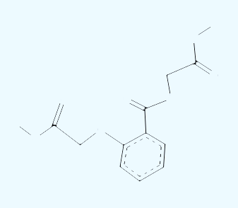 COC(=O)COC(=O)c1ccccc1OCC(=O)OC